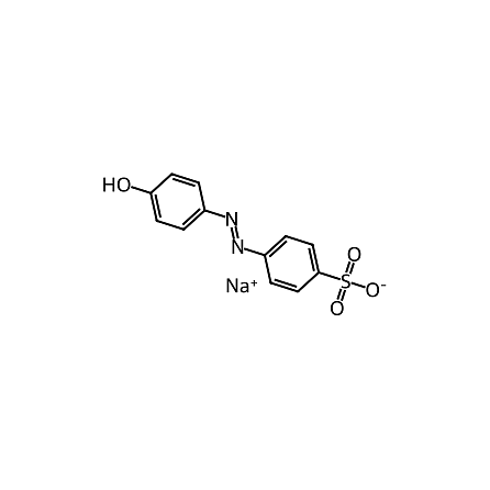 O=S(=O)([O-])c1ccc(N=Nc2ccc(O)cc2)cc1.[Na+]